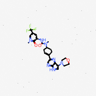 CN(C(=O)Nc1cc(C(F)(F)F)cn(C)c1=O)C1CC=C(c2cnc3[nH]cc(N4CCOCC4)c3n2)CC1